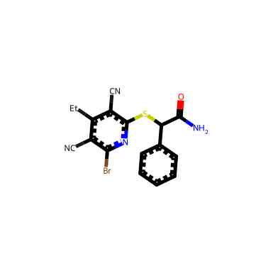 CCc1c(C#N)c(Br)nc(SC(C(N)=O)c2ccccc2)c1C#N